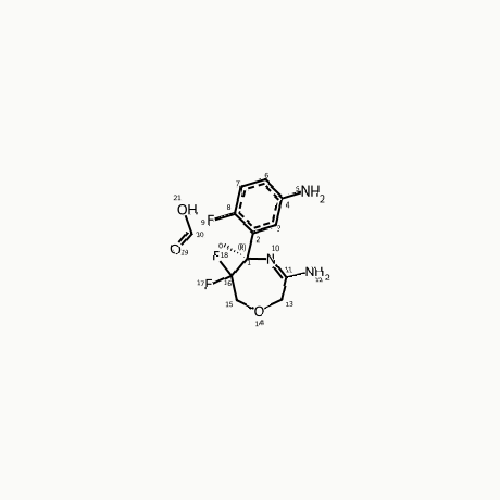 C[C@]1(c2cc(N)ccc2F)N=C(N)COCC1(F)F.O=CO